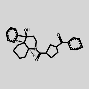 O=C(c1ccccc1)C1CCC(C(=O)N2CCC(O)(c3ccccc3)[C@H]3CCCC[C@@H]32)C1